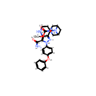 CC(C)(C)OC(=O)N1CC2CC(C1)N2C1CCNc2c1nn(-c1ccc(Oc3ccccc3)cc1)c2C(N)=O